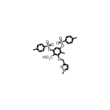 Cc1ccc(S(=O)(=O)Oc2cc(OS(=O)(=O)c3ccc(C)cc3)c(C(=O)O)c(OCc3ccn(C)n3)c2C)cc1